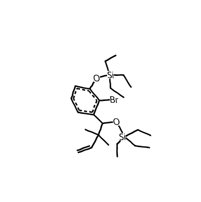 C=CC(C)(C)C(O[Si](CC)(CC)CC)c1cccc(O[Si](CC)(CC)CC)c1Br